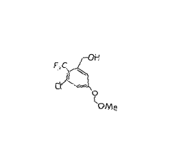 COCOc1cc(Cl)c(C(F)(F)F)c(CO)c1